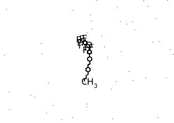 CCCCCC1CCC(/C=C/C2CCC(c3ccc(C(F)(F)Oc4cc(F)c(C(F)(F)F)c(F)c4)c(F)c3)CC2)CC1